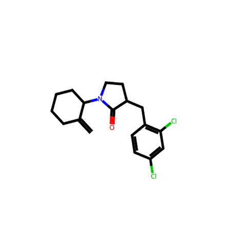 C=C1CCCCC1N1CCC(Cc2ccc(Cl)cc2Cl)C1=O